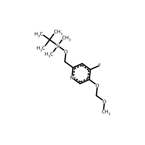 COCOc1cnc(CO[Si](C)(C)C(C)(C)C)cc1F